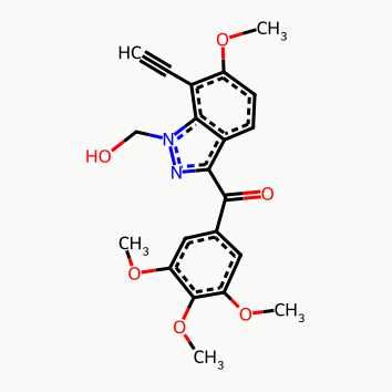 C#Cc1c(OC)ccc2c(C(=O)c3cc(OC)c(OC)c(OC)c3)nn(CO)c12